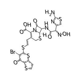 Nc1nc(/C(=N\O)C(=O)NC2C(=O)N3C(C(=O)O)=C(/C=C/Sc4sc5ccsc5c(=O)c4Br)CS[C@H]23)cs1